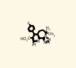 CC(C)c1nc2c(c(-c3ccc(F)cc3)c1C(=O)O)CCC(C)(C)n1nnnc1-2